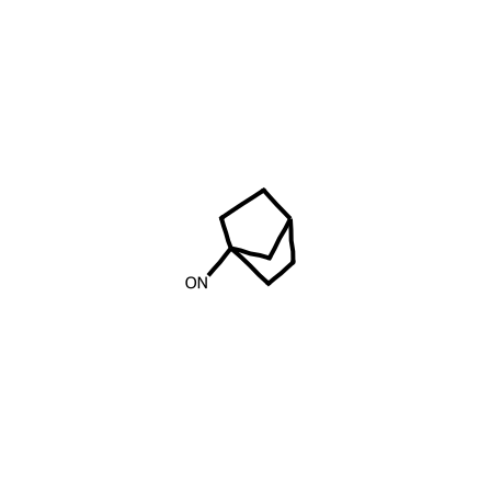 O=NC12CCC(CC1)C2